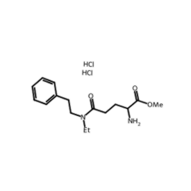 CCN(CCc1ccccc1)C(=O)CCC(N)C(=O)OC.Cl.Cl